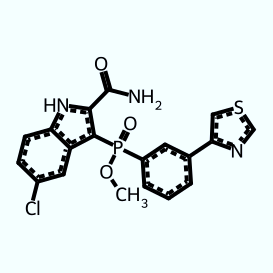 COP(=O)(c1cccc(-c2cscn2)c1)c1c(C(N)=O)[nH]c2ccc(Cl)cc12